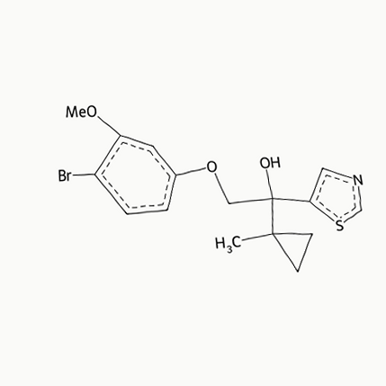 COc1cc(OCC(O)(c2cncs2)C2(C)CC2)ccc1Br